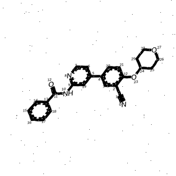 N#Cc1cc(-c2ccnc(NC(=O)c3ccccc3)c2)ccc1OC1CCOCC1